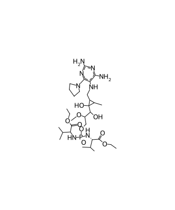 CCOC(=O)C(NP(=O)(N[C@H](C(=O)OCC)C(C)C)OCC(OC)C(O)C1(O)C(C)C1CNc1c(N)nc(N)nc1N1CCCC1)C(C)C